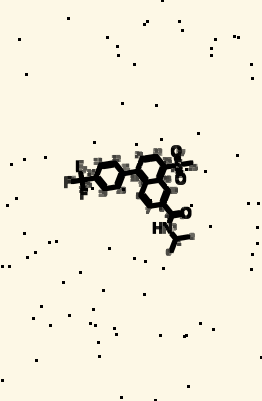 CC(C)NC(=O)c1ccc2c(-c3ccc(C(F)(F)F)cc3)ccc(S(C)(=O)=O)c2c1